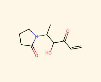 C=CC(=O)C(O)C(C)N1CCCC1=O